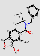 COc1c(C(=O)N(Cc2ccccc2)C(C(=O)O)C(C)C)ccc2c1B(O)OC2